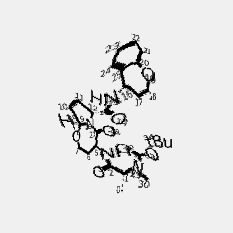 C[C@H](C(=O)N[C@H]1CCO[C@H]2CC[C@H](C(=O)N[C@H]3CCOc4ccccc43)N2C1=O)N(C)C(=O)OC(C)(C)C